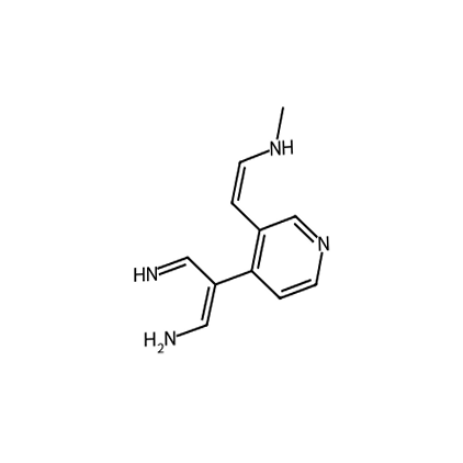 CN/C=C\c1cnccc1/C(C=N)=C/N